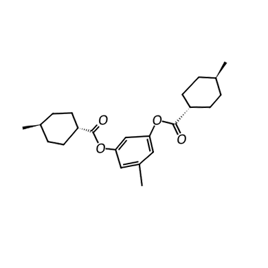 Cc1cc(OC(=O)[C@H]2CC[C@H](C)CC2)cc(OC(=O)[C@H]2CC[C@H](C)CC2)c1